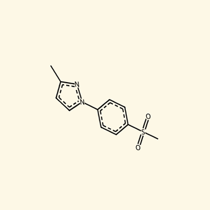 Cc1ccn(-c2ccc(S(C)(=O)=O)cc2)n1